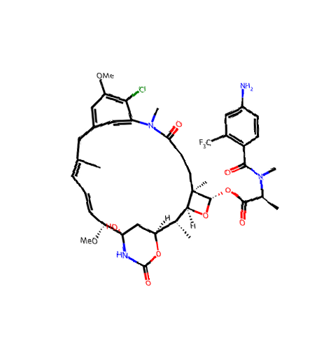 COc1cc2cc(c1Cl)N(C)C(=O)CC[C@@]1(C)[C@H](OC(=O)[C@H](C)N(C)C(=O)c3ccc(N)cc3C(F)(F)F)O[C@H]1[C@H](C)[C@@H]1C[C@@](O)(NC(=O)O1)[C@H](OC)/C=C/C=C(\C)C2